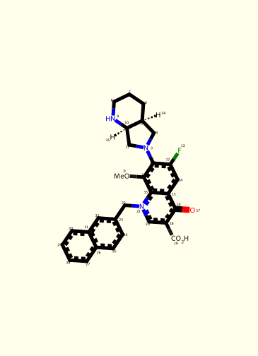 COc1c(N2C[C@@H]3CCCN[C@@H]3C2)c(F)cc2c(=O)c(C(=O)O)cn(Cc3ccc4ccccc4c3)c12